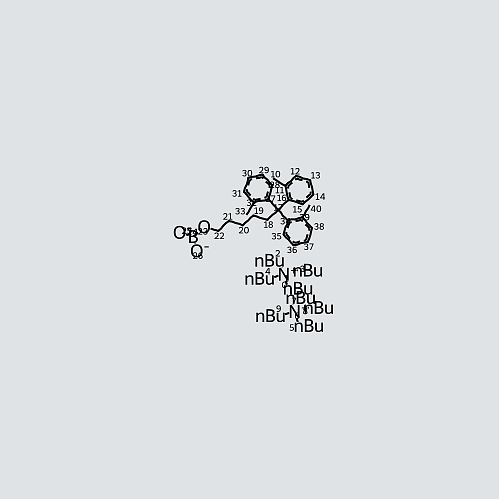 CCCC[N+](CCCC)(CCCC)CCCC.CCCC[N+](CCCC)(CCCC)CCCC.Cc1ccccc1C(CCCCCOB([O-])[O-])(c1ccccc1C)c1ccccc1C